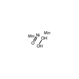 OO.[Mn].[Mn].[O]=[Ni]